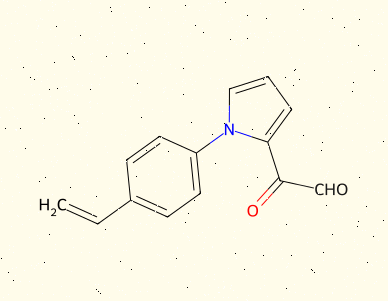 C=Cc1ccc(-n2cccc2C(=O)C=O)cc1